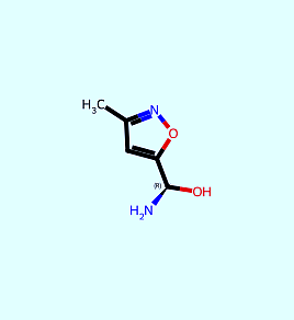 Cc1cc([C@H](N)O)on1